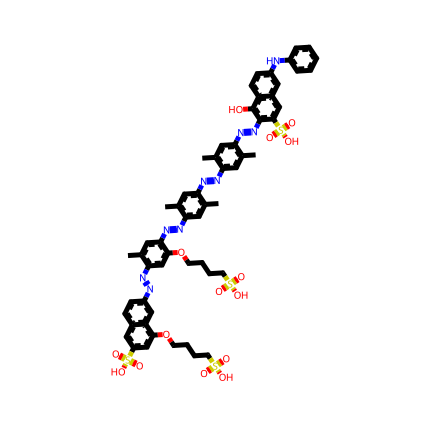 Cc1cc(N=Nc2cc(C)c(N=Nc3cc(C)c(N=Nc4c(S(=O)(=O)O)cc5cc(Nc6ccccc6)ccc5c4O)cc3C)cc2C)c(OCCCCS(=O)(=O)O)cc1N=Nc1ccc2cc(S(=O)(=O)O)cc(OCCCCS(=O)(=O)O)c2c1